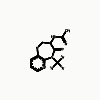 [2H]C([2H])([2H])N1C(=O)C(NC(=O)O)COc2cccnc21